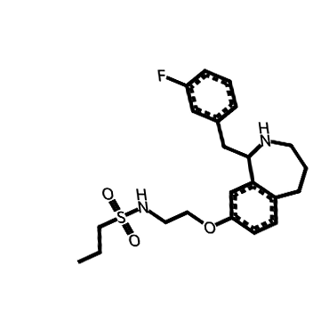 CCCS(=O)(=O)NCCOc1ccc2c(c1)C(Cc1cccc(F)c1)NCCC2